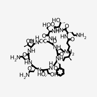 CC[C@H](C)CCCCC(=O)N[C@@H](CCN)C(=O)N[C@H](C(=O)N[C@H](CO)C(=O)N[C@H]1CCNC(=O)[C@H]([C@@H](C)O)NC(=O)[C@H](CCN)NC(=O)[C@H](CCN)NC(=O)[C@H]([C@@H](C)O)NC(=O)[C@@H](Cc2ccccc2)NC(=O)[C@H](CCN)NC1=O)[C@@H](C)O